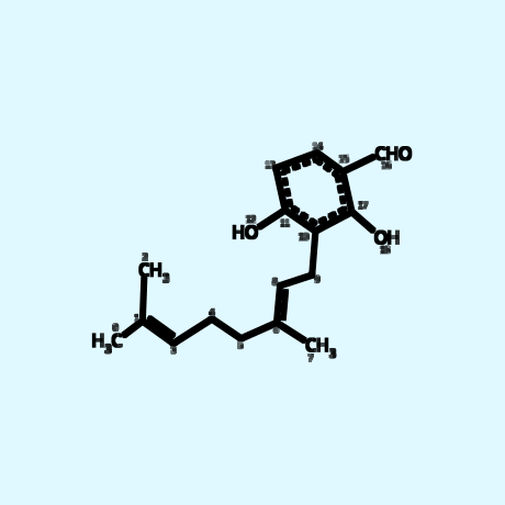 CC(C)=CCC/C(C)=C/Cc1c(O)ccc(C=O)c1O